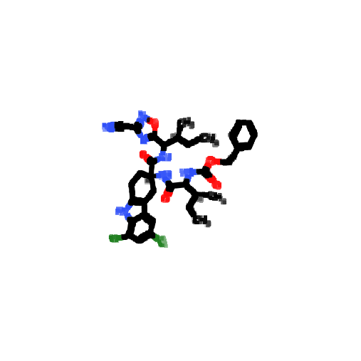 CC[C@H](C)C(NC(=O)OCc1ccccc1)C(=O)N[C@]1(C(=O)NC(c2nc(C#N)no2)[C@@H](C)CC)CCc2[nH]c3c(Cl)cc(Cl)cc3c2C1